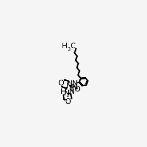 CCCCCCCCCc1ccccc1NP(N)(=O)N1CCOCC1N1CCOCC1